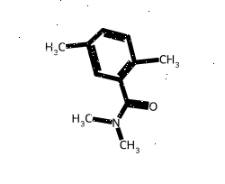 Cc1ccc(C)c(C(=O)N(C)C)c1